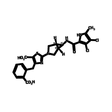 Cc1[nH]c(C(=O)N[C@H]2[C@@H]3CN(c4nc(Cc5ccccc5C(=O)O)c(C(=O)O)s4)C[C@@H]32)c(Cl)c1Cl